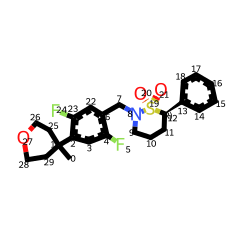 CC1(c2cc(F)c(CN3CCC[C@H](c4ccccc4)S3(=O)=O)cc2F)CCOCC1